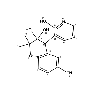 CC1(C)Oc2ccc(C#N)cc2C(c2cccnc2O)C1(O)O